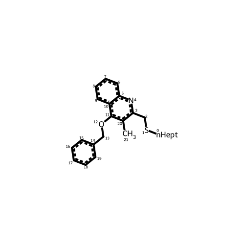 CCCCCCCSCc1nc2ccccc2c(OCc2ccccc2)c1C